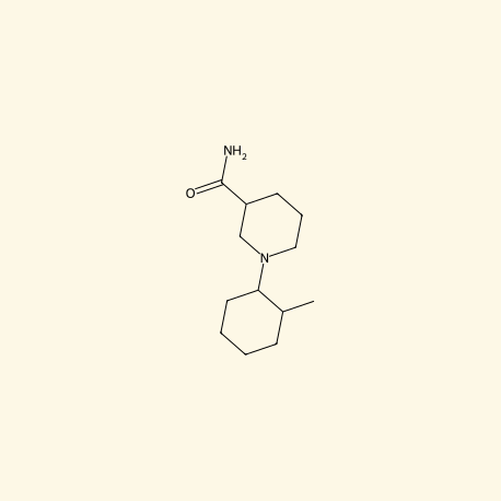 CC1CCCCC1N1CCCC(C(N)=O)C1